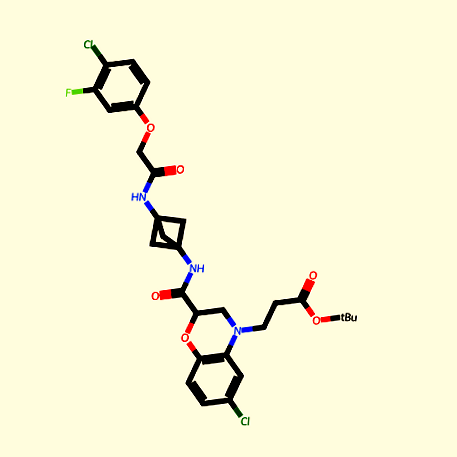 CC(C)(C)OC(=O)CCN1CC(C(=O)NC23CC(NC(=O)COc4ccc(Cl)c(F)c4)(C2)C3)Oc2ccc(Cl)cc21